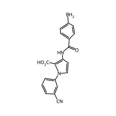 Bc1ccc(C(=O)Nc2ccn(-c3cccc(C#N)c3)c2C(=O)O)cc1